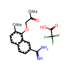 COC(=O)COc1c(OC)ccc2ccc(C(=N)N)cc12.O=C(O)C(F)(F)F